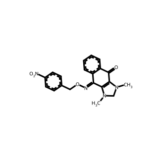 CN1CN(C)C2=C1C(=O)c1ccccc1C2=NOCc1ccc([N+](=O)[O-])cc1